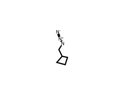 [N-]=[N+]=NCC1CCC1